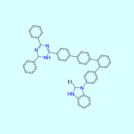 CCC1Nc2ccccc2N1c1ccc(-c2ccccc2-c2ccc(-c3ccc(C4=NC(c5ccccc5)=NC(c5ccccc5)N4)cc3)cc2)cc1